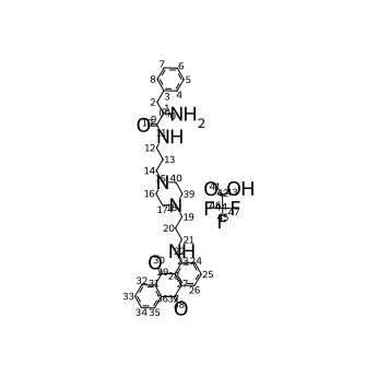 N[C@H](Cc1ccccc1)C(=O)NCCCN1CCN(CCCNc2cccc3c2C(=O)c2ccccc2C3=O)CC1.O=C(O)C(F)(F)F